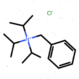 CC(C)[N+](Cc1ccccc1)(C(C)C)C(C)C.[Cl-]